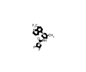 C[C@H]1C[C@@H](NC(=O)N2C[C@@H](F)[C@@H](F)C2)CN(c2ccc(C(F)(F)F)c3ncccc23)C1